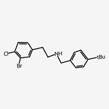 CC(C)(C)c1ccc(CNCCc2ccc(Cl)c(Br)c2)cc1